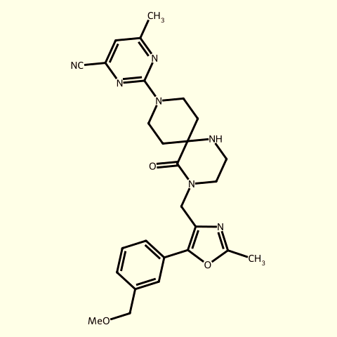 COCc1cccc(-c2oc(C)nc2CN2CCNC3(CCN(c4nc(C)cc(C#N)n4)CC3)C2=O)c1